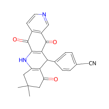 CC1(C)CC(=O)C2=C(C1)NC1=C(C(=O)c3cnccc3C1=O)C2c1ccc(C#N)cc1